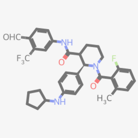 Cc1cccc(F)c1C(=O)N1CCCC(C(=O)Nc2ccc(C=O)c(C(F)(F)F)c2)[C@@H]1c1ccc(NC2CCCC2)cc1